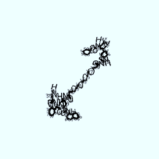 CN[C@@H](C)C(=O)N[C@H](C(=O)N1C[C@@H](NC(=O)CCOCCOCCOCCOCCC(=O)Nc2nc3ccc(-c4cnc(C)c(NC(=O)OC5CCCCC5)c4)cc3s2)C[C@H]1C(=O)N[C@@H]1CCCc2ccccc21)C1CCCCC1